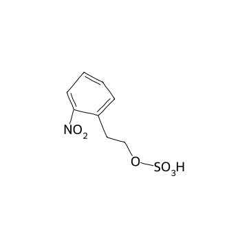 O=[N+]([O-])c1ccccc1CCOS(=O)(=O)O